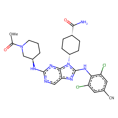 COC(=O)N1CCC[C@@H](Nc2ncc3nc(Nc4c(Cl)cc(C#N)cc4Cl)n([C@H]4CC[C@@H](C(N)=O)CC4)c3n2)C1